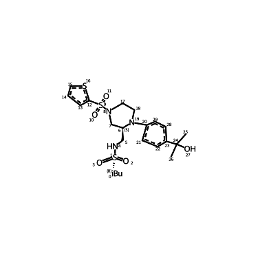 CC[C@@H](C)S(=O)(=O)NC[C@H]1CN(S(=O)(=O)c2cccs2)CCN1c1ccc(C(C)(C)O)cc1